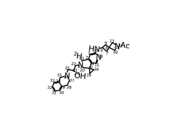 [2H][C@@H]1c2cc(NC3CC4(C3)CN(C(C)=O)C4)ncc2C2(CC2)CN1CC(O)CN1CCc2ccccc2C1